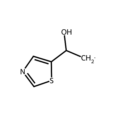 [CH2]C(O)c1cncs1